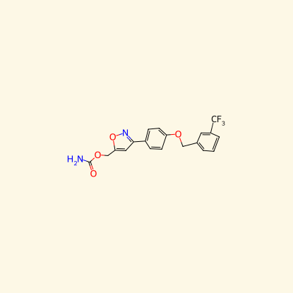 NC(=O)OCc1cc(-c2ccc(OCc3cccc(C(F)(F)F)c3)cc2)no1